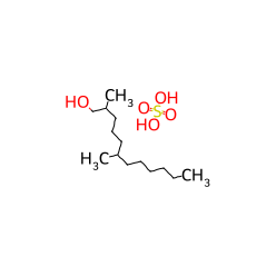 CCCCCCC(C)CCCC(C)CO.O=S(=O)(O)O